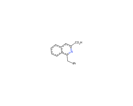 CC(C)Cc1nc(C(=O)O)cc2ccccc12